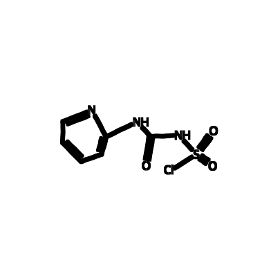 O=C(Nc1ccccn1)NS(=O)(=O)Cl